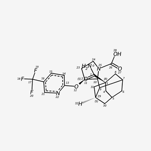 NC(=O)[C@]12CC3CC(C1)C(C1[C@@H](Oc4ccc(C(F)(F)F)cn4)CCN1C(=O)O)[C@@H](C3)C2